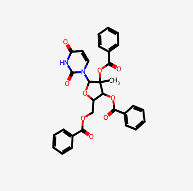 CC1(OC(=O)c2ccccc2)C(OC(=O)c2ccccc2)C(COC(=O)c2ccccc2)OC1n1ccc(=O)[nH]c1=O